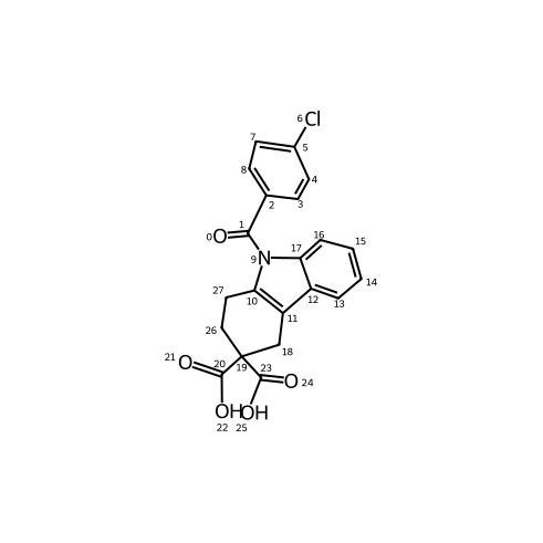 O=C(c1ccc(Cl)cc1)n1c2c(c3ccccc31)CC(C(=O)O)(C(=O)O)CC2